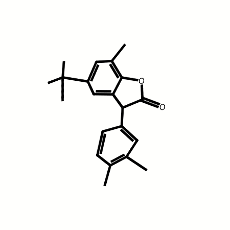 Cc1ccc(C2C(=O)Oc3c(C)cc(C(C)(C)C)cc32)cc1C